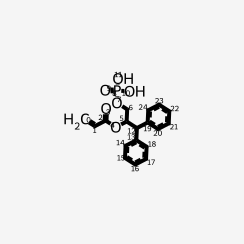 C=CC(=O)OC(COP(=O)(O)O)C(c1ccccc1)c1ccccc1